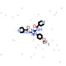 O=C(Nc1nc(NC(=O)c2ccncc2)n(-c2ccc(OC(F)(F)F)cc2)n1)c1ccncc1